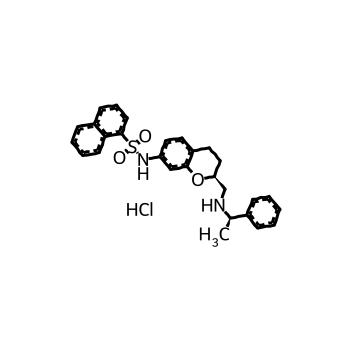 C[C@@H](NC[C@@H]1CCc2ccc(NS(=O)(=O)c3cccc4ccccc34)cc2O1)c1ccccc1.Cl